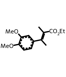 CCOC(=O)C(C)=C(C)c1ccc(OC)c(OC)c1